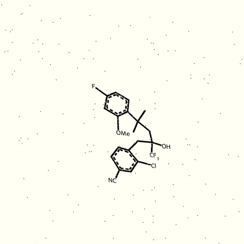 COc1cc(F)ccc1C(C)(C)CC(O)(Cc1ccc(C#N)cc1Cl)C(F)(F)F